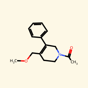 COCC1=C(c2ccccc2)CN(C(C)=O)CC1